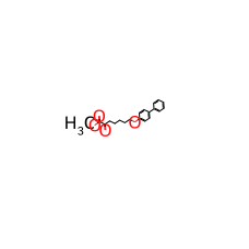 COC(=O)C(=O)CCCCCOc1ccc(-c2ccccc2)cc1